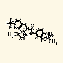 CC(C(=O)NCc1ccc(C(F)(F)F)nc1N1CCCCC1C)c1ccc(NS(C)(=O)=O)c(F)c1